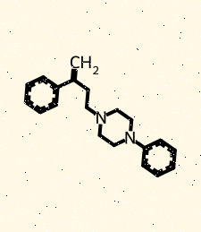 C=C(CCN1CCN(c2ccccc2)CC1)c1ccccc1